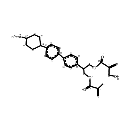 C=C(C)C(=O)OCC(COC(=O)C(=C)CO)c1ccc(-c2ccc(C3CCC(CCCCC)CC3)cc2)cc1